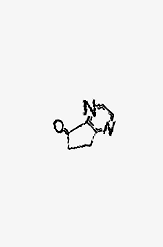 O=C1CCc2nccnc21